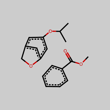 CC(C)Oc1cc2cc(c1)OC2.COC(=O)c1ccccc1